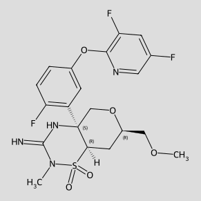 COC[C@H]1C[C@@H]2[C@](c3cc(Oc4ncc(F)cc4F)ccc3F)(CO1)NC(=N)N(C)S2(=O)=O